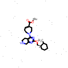 CC1CCCC[C@H]1COc1nc2c(c(N3CCC=C(C(=O)OC(C)(C)C)CC3)n1)CCNC2